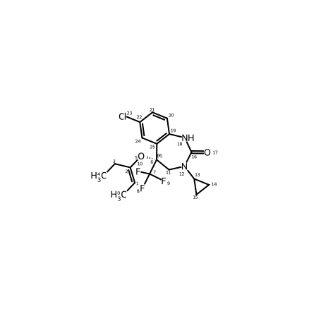 CC=C(CC)O[C@@]1(C(F)(F)F)CN(C2CC2)C(=O)Nc2ccc(Cl)cc21